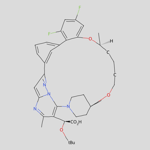 Cc1nc2cc3nn2c(c1[C@H](OC(C)(C)C)C(=O)O)N1CCC(C)(CC1)OCCCC[C@H](C)Oc1cc(F)cc(F)c1-c1cccc-3c1